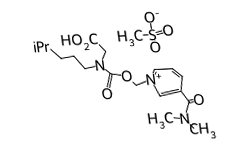 CC(C)CCCN(CC(=O)O)C(=O)OC[n+]1cccc(C(=O)N(C)C)c1.CS(=O)(=O)[O-]